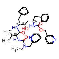 CCN(Cc1ccccn1)C(=O)N[C@H](C(=O)N[C@@H](Cc1ccccc1)[C@@H](O)C[C@H](Cc1ccccc1)NC(=O)OCc1cccnc1)C(C)C